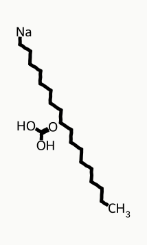 CCCCCCCCCCCCCCCCC[CH2][Na].O=C(O)O